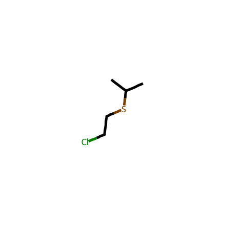 CC(C)SCCCl